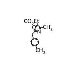 CCOC(=O)c1oc(Cc2ccc(C)cc2)nc1C